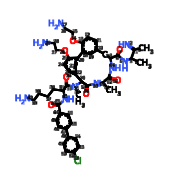 CC(=N)C(C)NC(=O)C1Cc2ccc(OCCN)c(c2)-c2cc(ccc2OCCN)C(N(C)C(=O)C(CCCCN)NC(=O)c2ccc(-c3ccc(Cl)cc3)cc2)C(=O)NC(C)C(=O)N1